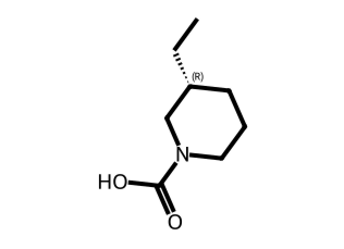 CC[C@@H]1CCCN(C(=O)O)C1